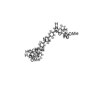 COC(=O)N[C@H](C(=O)N1CCC[C@H]1c1nc(-c2ccc(-c3cnc(-c4ccc5[nH]c([C@@H]6CCCN6C(=O)[C@@H](NC(=O)OC)C(C)(C)O)nc5c4)cn3)cc2)c[nH]1)C(C)C